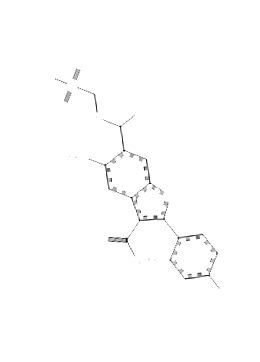 CNC(=O)c1c(-c2ccc(F)cc2)oc2cc(C(C)NCS(C)(=O)=O)c(OC)cc12